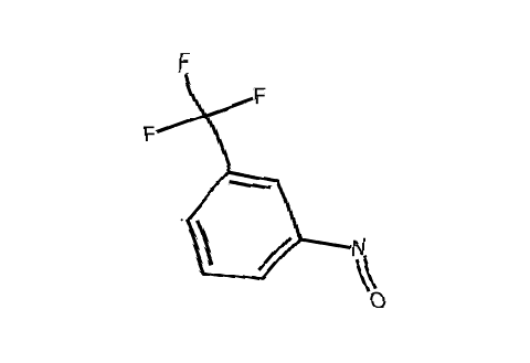 O=Nc1cc[c]c(C(F)(F)F)c1